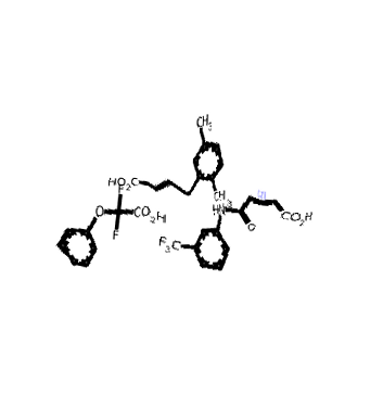 Cc1ccc(C)c(CCCC(=O)O)c1.O=C(O)/C=C\C(=O)Nc1cccc(C(F)(F)F)c1.O=C(O)C(F)(F)Oc1ccccc1